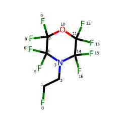 FCCN1C(F)(F)C(F)(F)OC(F)(F)C1(F)F